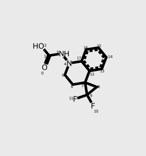 O=C(O)NN1CCC2(CC2(F)F)c2ccccc21